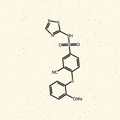 COc1ccccc1Sc1ccc(S(=O)(=O)Nc2ncns2)cc1C#N